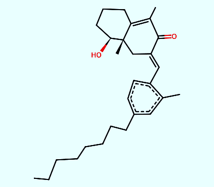 CCCCCCCCc1ccc(/C=C2\C[C@@]3(C)C(=C(C)C2=O)CCC[C@@H]3O)c(C)c1